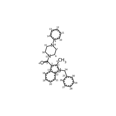 Cc1c(C(=O)N2CCN(c3ccccc3)CC2)c2ccccc2n1Cc1ccccc1